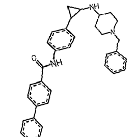 O=C(Nc1ccc(C2CC2NC2CCN(Cc3ccccc3)CC2)cc1)c1ccc(-c2ccccc2)cc1